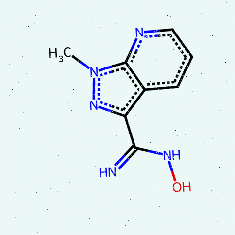 Cn1nc(C(=N)NO)c2cccnc21